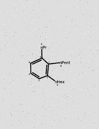 CCCCCCc1[c]ccc(CCC)c1CCCCC